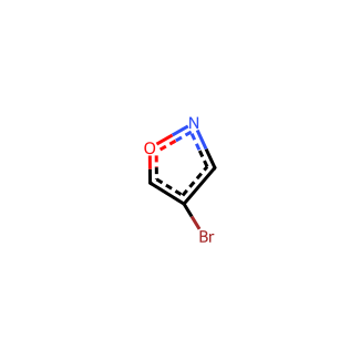 Brc1cnoc1